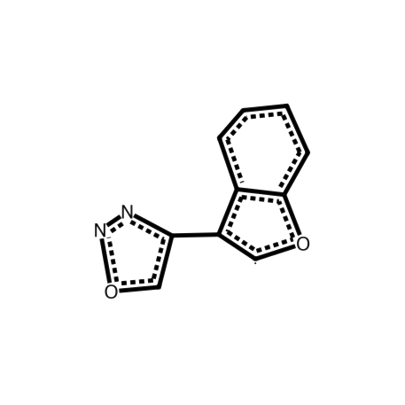 [c]1oc2ccccc2c1-c1conn1